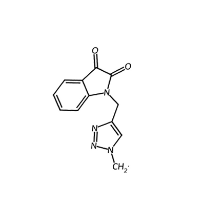 [CH2]n1cc(CN2C(=O)C(=O)c3ccccc32)nn1